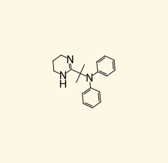 CC(C)(C1=NCCCN1)N(c1ccccc1)c1ccccc1